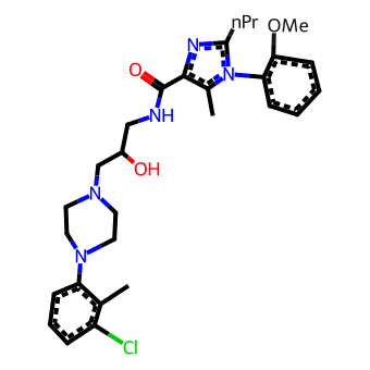 CCCc1nc(C(=O)NCC(O)CN2CCN(c3cccc(Cl)c3C)CC2)c(C)n1-c1ccccc1OC